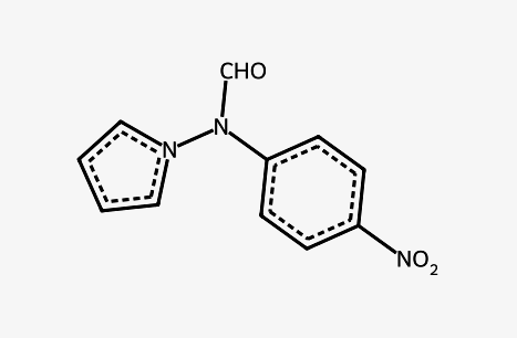 O=CN(c1ccc([N+](=O)[O-])cc1)n1cccc1